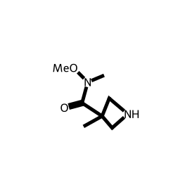 CON(C)C(=O)C1(C)CNC1